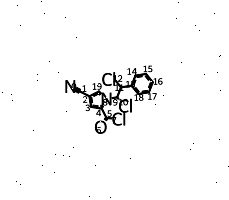 N#Cc1cc(C(=O)Cl)n(C(Cl)C(Cl)c2ccccc2)c1